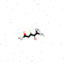 CC(=O)CC(F)[C@H](Br)C(C)C